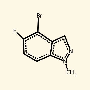 Cn1ncc2c(Br)c(F)ccc21